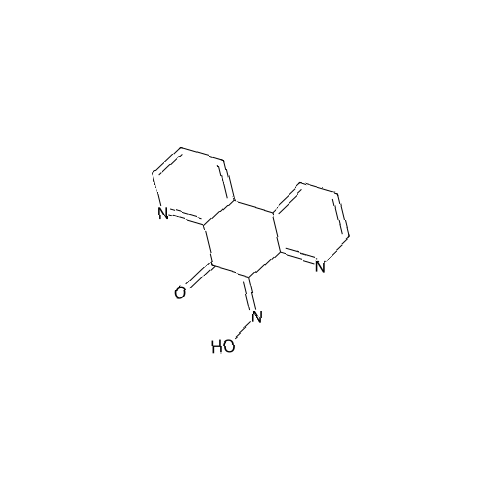 O=C1C(=NO)c2ncccc2-c2cccnc21